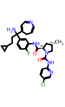 C[C@H]1C[C@H](C(=O)Nc2cc(C(N)(CCC3CC3)C3=CC=NC=CC3)ccc2F)N(C(=O)Nc2ccc(Cl)cn2)C1